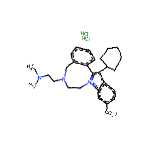 CN(C)CCN1CCn2c(c(C3CCCCC3)c3ccc(C(=O)O)cc32)-c2ccccc2C1.Cl.Cl